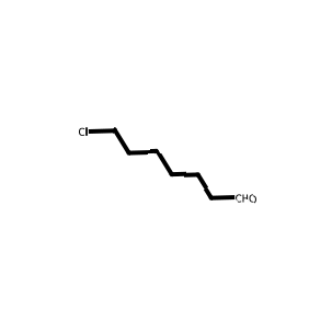 O=CCCCCCCCl